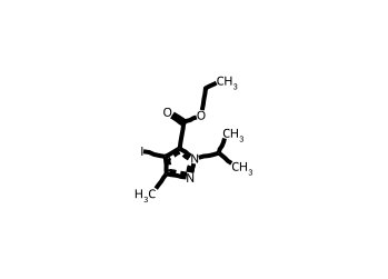 CCOC(=O)c1c(I)c(C)nn1C(C)C